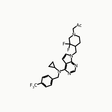 CC(=O)CN1CCC(Cn2ccc3c(N(Cc4ccc(C(F)(F)F)cc4)C4CC4)ncnc32)C(F)(F)C1